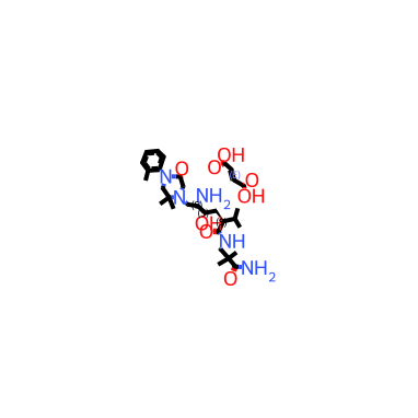 Cc1ccccc1N1CC(C)(C)N(C[C@H](N)[C@@H](O)C[C@H](C(=O)NCC(C)(C)C(N)=O)C(C)C)CC1=O.O=C(O)/C=C/C(=O)O